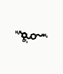 NCCN1CCN(Cc2ccc(N)cc2C(F)(F)F)CC1